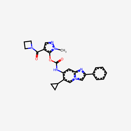 Cn1ncc(C(=O)N2CCC2)c1OC(=O)Nc1cc2nc(-c3ccccc3)cn2cc1C1CC1